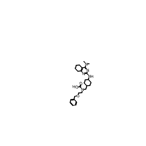 CN(C)c1nc(NC2CCC(CN(CCOCc3ccccc3)C(=O)O)CC2)nc2c1CCCC2